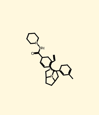 C=CCN1CCC2CCC(C1)N2C(C1=CCC(C(=O)NN2CCCCC2)C=C1)C1=CC(C)=CCC1